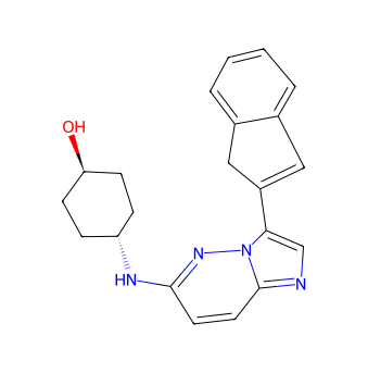 O[C@H]1CC[C@H](Nc2ccc3ncc(C4=Cc5ccccc5C4)n3n2)CC1